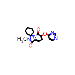 CN1C(=O)c2ccc(Oc3ccncn3)c(=O)n2C12CCCCC2